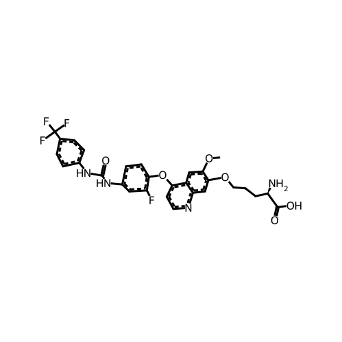 COc1cc2c(Oc3ccc(NC(=O)Nc4ccc(C(F)(F)F)cc4)cc3F)ccnc2cc1OCCC[C@@H](N)C(=O)O